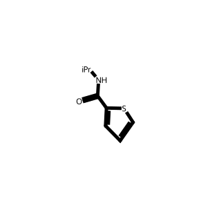 CC(C)NC(=O)c1c[c]cs1